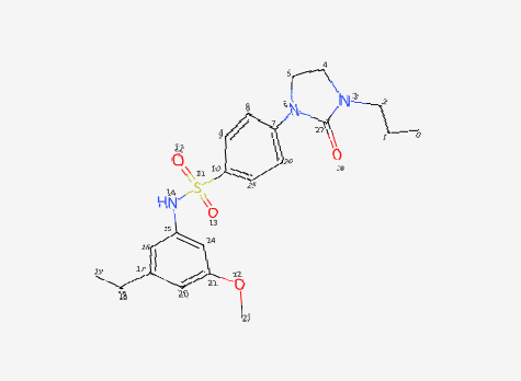 CCCN1CCN(c2ccc(S(=O)(=O)Nc3cc(CC)cc(OC)c3)cc2)C1=O